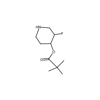 CC(C)(C)C(=O)OC1CCNCC1F